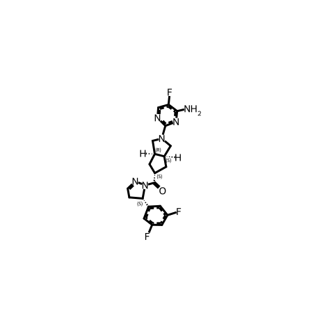 Nc1nc(N2C[C@H]3C[C@H](C(=O)N4N=CC[C@H]4c4cc(F)cc(F)c4)C[C@H]3C2)ncc1F